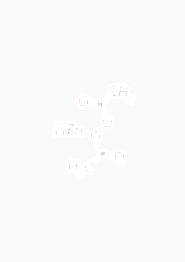 CC(=O)OOC(C)=O.[Zn].[Zn]